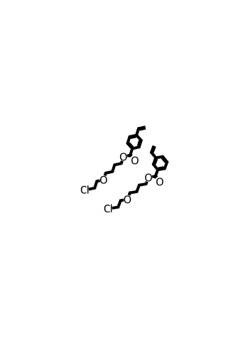 C=Cc1ccc(C(=O)OCCCCOCCCl)cc1.C=Cc1cccc(C(=O)OCCCCOCCCl)c1